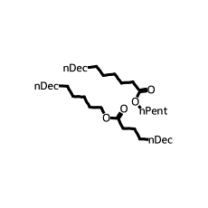 CCCCCCCCCCCCCCCC(=O)OCCCCC.CCCCCCCCCCCCCCCOC(=O)CCCCCCCCCCCCC